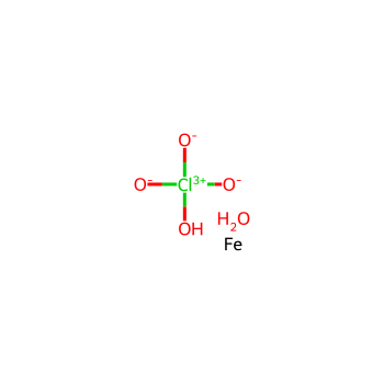 O.[Fe].[O-][Cl+3]([O-])([O-])O